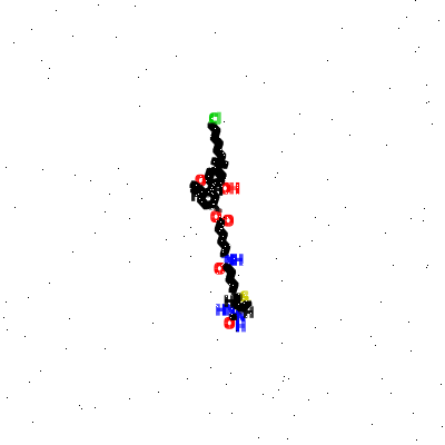 CC(C)(CCCCCCCl)c1cc(O)c2c(c1)OC(C)(C)[C@@H]1CC[C@@H](COC(=O)CCCCCNC(=O)CCCC[C@@H]3SC[C@@H]4NC(=O)N[C@@H]43)C[C@@H]21